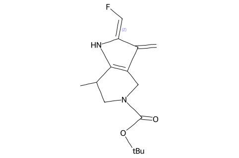 C=c1c2c([nH]/c1=C\F)C(C)CN(C(=O)OC(C)(C)C)C2